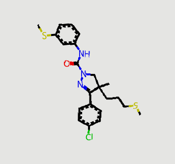 CSCCCC1(C)CN(C(=O)Nc2cccc(SC)c2)N=C1c1ccc(Cl)cc1